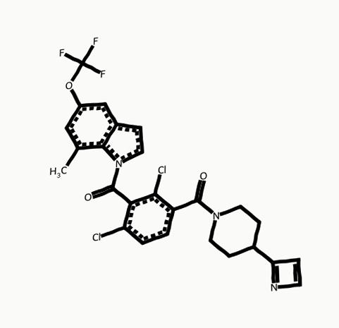 Cc1cc(OC(F)(F)F)cc2ccn(C(=O)c3c(Cl)ccc(C(=O)N4CCC(C5=NC=C5)CC4)c3Cl)c12